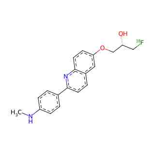 CNc1ccc(-c2ccc3cc(OC[C@H](O)C[18F])ccc3n2)cc1